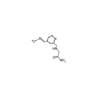 NC(=O)CNCc1cc(C=NC2CC2)ccn1